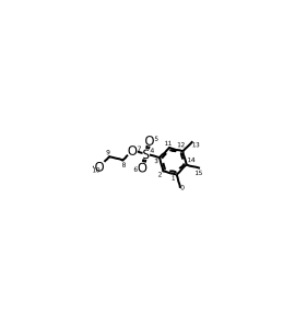 Cc1cc(S(=O)(=O)OCC[O])cc(C)c1C